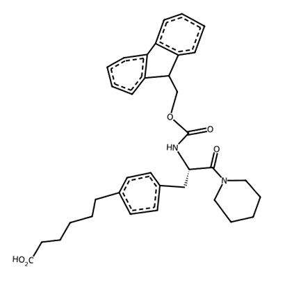 O=C(O)CCCCCc1ccc(C[C@H](NC(=O)OCC2c3ccccc3-c3ccccc32)C(=O)N2CCCCC2)cc1